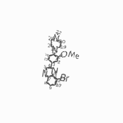 COc1cc(-c2cnc3cccc(Br)c3n2)ccc1N1CCN(C)CC1